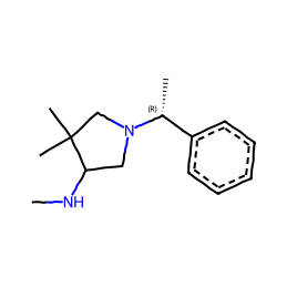 CNC1CN([C@H](C)c2ccccc2)CC1(C)C